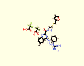 Cc1ccc2nc(C(=O)NCCSCc3ccco3)nc(NC3CCCCC3NC(=N)N)c2c1.O=C(O)C(F)(F)F.O=C(O)C(F)(F)F